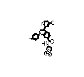 O=C(NC1CCS(=O)(=O)C1)c1ccc2c(-c3cc(Cl)ccn3)cn(-c3ccc(F)cc3)c2c1